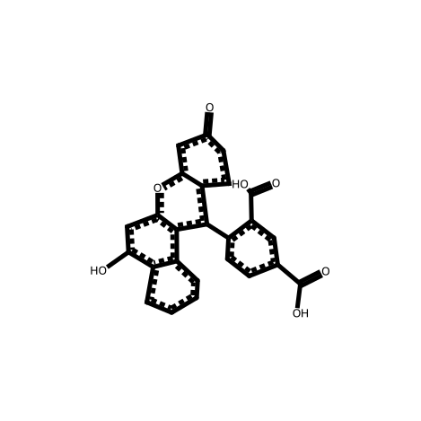 O=C(O)c1ccc(-c2c3ccc(=O)cc-3oc3cc(O)c4ccccc4c23)c(C(=O)O)c1